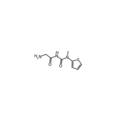 CN(C(=O)NC(=O)CN)c1cccs1